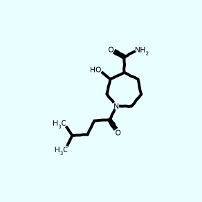 CC(C)CCC(=O)N1CCCC(C(N)=O)C(O)C1